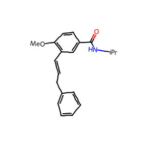 COc1ccc(C(=O)NC(C)C)cc1/C=C/Cc1ccccc1